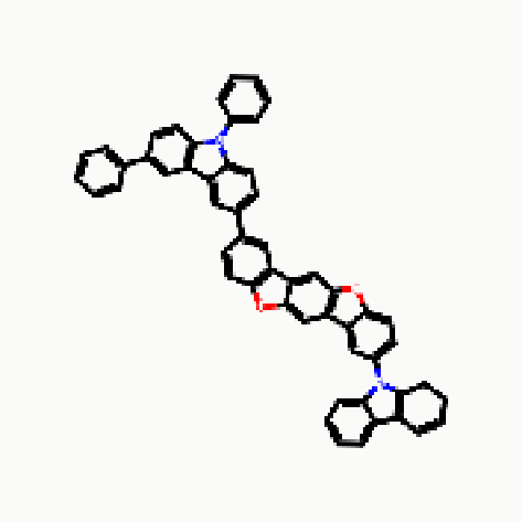 C1=Cc2c(n(-c3ccc4oc5cc6c(cc5c4c3)oc3ccc(-c4ccc5c(c4)c4cc(-c7ccccc7)ccc4n5-c4ccccc4)cc36)c3ccccc23)CC1